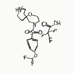 O=C(O)C(F)(F)F.O=S(=O)(c1ccc(OC(F)F)cc1)N1CCOC2(CCNC2)C1